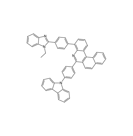 CCn1c(-c2ccc(-c3cccc4c3nc(-c3ccc(-n5c6ccccc6c6ccccc65)cc3)c3ccc5ccccc5c34)cc2)nc2ccccc21